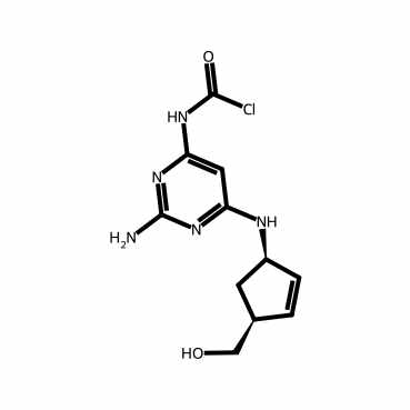 Nc1nc(NC(=O)Cl)cc(N[C@H]2C=C[C@@H](CO)C2)n1